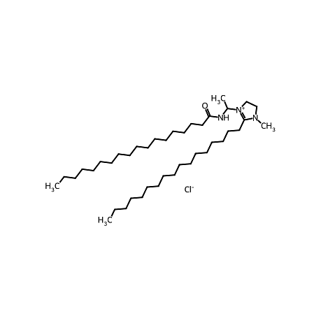 CCCCCCCCCCCCCCCCCC(=O)NC(C)[N+]1=C(CCCCCCCCCCCCCCCCC)N(C)CC1.[Cl-]